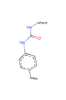 CCCCCNC(=O)Nc1ccc(NC)cc1